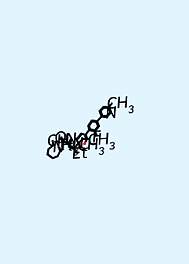 CCC1=CC(C(=O)N2CCCCCC2C)=N/C(=C/C(=C(C)C)c2ccc(-c3ccc(C)nc3)cc2F)N1C